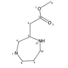 COC(=O)CC1C[N]CCCN1